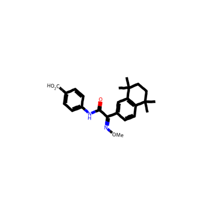 CO/N=C(/C(=O)Nc1ccc(C(=O)O)cc1)c1ccc2c(c1)C(C)(C)CCC2(C)C